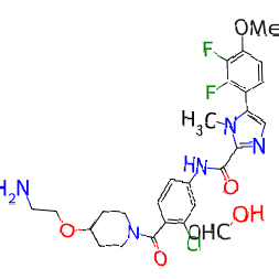 COc1ccc(-c2cnc(C(=O)Nc3ccc(C(=O)N4CCC(OCCN)CC4)c(Cl)c3)n2C)c(F)c1F.O=CO